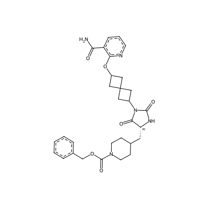 NC(=O)c1cccnc1OC1CC2(C1)CC(N1C(=O)N[C@H](CC3CCN(C(=O)OCc4ccccc4)CC3)C1=O)C2